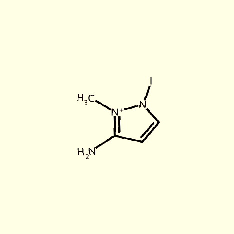 C[n+]1c(N)ccn1I